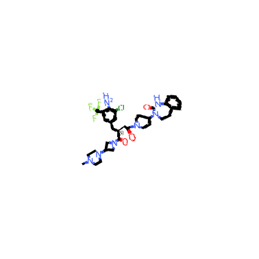 CN1CCN(C2CN(C(=O)[C@H](CC(=O)N3CCC(N4CCc5ccccc5NC4=O)CC3)Cc3cc(Cl)c(N)c(C(F)(F)F)c3)C2)CC1